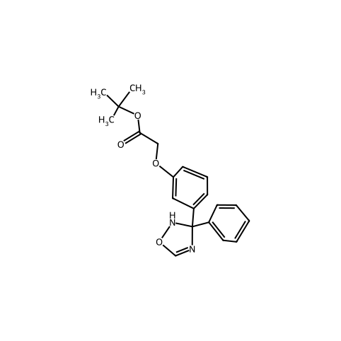 CC(C)(C)OC(=O)COc1cccc(C2(c3ccccc3)N=CON2)c1